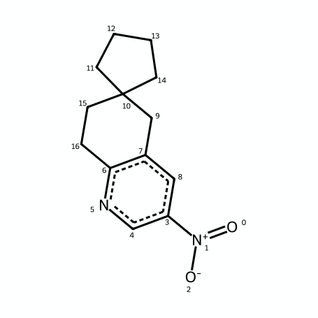 O=[N+]([O-])c1cnc2c(c1)CC1(CCCC1)CC2